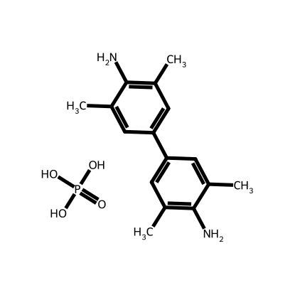 Cc1cc(-c2cc(C)c(N)c(C)c2)cc(C)c1N.O=P(O)(O)O